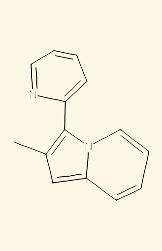 Cc1cc2ccccn2c1-c1ccccn1